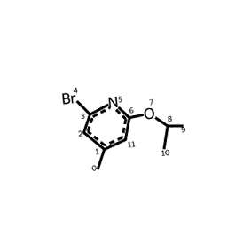 Cc1cc(Br)nc(OC(C)C)c1